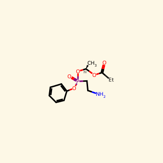 CCC(=O)O[C@H](C)OP(=O)(CCN)Oc1ccccc1